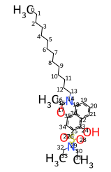 CCCCCCCCCCCCCCN(C(C)=O)c1cccc2c(O)c(S(=O)(=O)N(CC)CC)ccc12